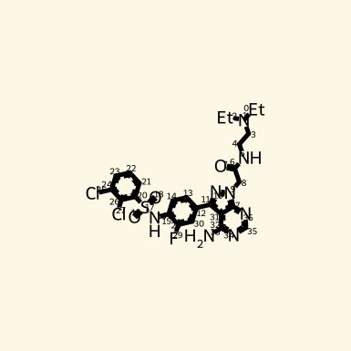 CCN(CC)CCNC(=O)Cn1nc(-c2ccc(NS(=O)(=O)c3cccc(Cl)c3Cl)c(F)c2)c2c(N)ncnc21